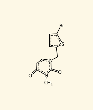 Cn1c(=O)ccn(Cc2ccc(Br)s2)c1=O